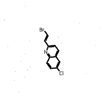 Clc1ccc2nc(C=CBr)ccc2c1